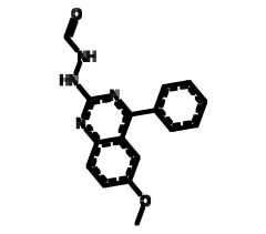 COc1ccc2nc(NNC=O)nc(-c3ccccc3)c2c1